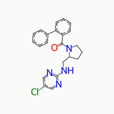 O=C(c1ccccc1-c1ccccc1)N1CCCC1CNc1ncc(Cl)cn1